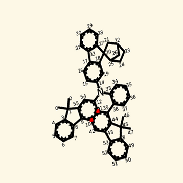 CC1(C)c2ccccc2-c2ccc(N(c3ccc4c(c3)C3(CC5CCC3C5)c3ccccc3-4)c3ccccc3-c3cccc4c3C(C)(C)c3ccccc3-4)cc21